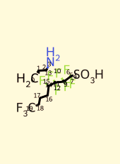 C=CCN.O=S(=O)(O)C(F)(F)C(F)(F)C(F)(F)C(F)CCCC(F)(F)F